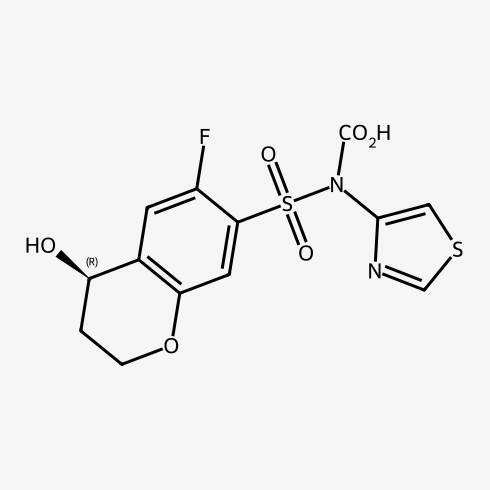 O=C(O)N(c1cscn1)S(=O)(=O)c1cc2c(cc1F)[C@H](O)CCO2